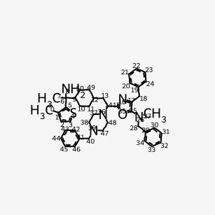 Cc1ccsc1C(C)(N)C1CCC(CC(c2nc(Cc3ccccc3)c(N(C)Cc3ccccc3)o2)N2CCN(Cc3ccccc3)CC2)CC1